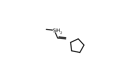 C1CCCC1.C=C[SiH2]C